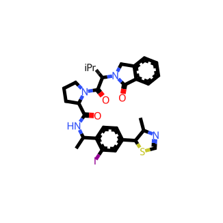 CC(NC(=O)C1CCCN1C(=O)C(C(C)C)N1Cc2ccccc2C1=O)c1ccc(C2SC=NC2C)cc1I